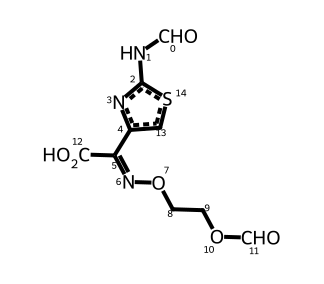 O=CNc1nc(/C(=N\OCCOC=O)C(=O)O)cs1